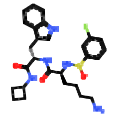 NCCCC[C@H](N[S+]([O-])c1cccc(F)c1)C(=O)N[C@@H](Cc1c[nH]c2ccccc12)C(=O)NC1CCC1